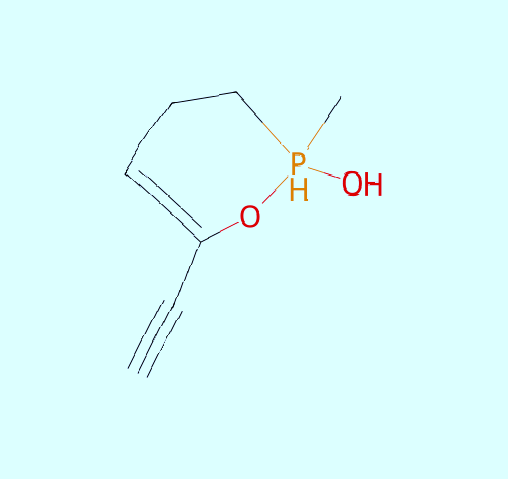 C#CC1=CCC[PH](C)(O)O1